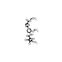 CCOC(=O)c1csc(N2CC[C@@H](NC(=O)c3[nH]c(C)c(Cl)c3Cl)[C@@H](OC)C2)n1